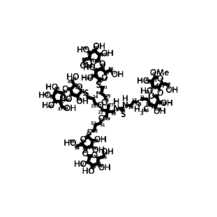 CO[C@H]1OC(CO)C(O[C@H]2OC(CSCCNC(=S)NCC(COCCCS[C@@H]3OC(CO)[C@@H](O[C@@H]4OC(CO)[C@H](O)[C@H](O)C4O)[C@H](O)C3O)(COCCCS[C@@H]3OC(CO)[C@@H](O[C@@H]4OC(CO)[C@H](O)[C@H](O)C4O)[C@H](O)C3O)COCCCS[C@@H]3OC(CO)[C@@H](O[C@@H]4OC(CO)[C@H](O)[C@H](O)C4O)[C@H](O)C3O)C(C)[C@H](O)C2O)[C@H](O)C1O